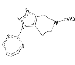 O=CN1CCc2c(nnn2-c2ncccn2)C1